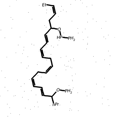 CC/C=C\CC(/C=C/C=C\C/C=C\C/C=C\C=C\C(CCC)OP)OPP